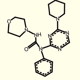 O=C(NN1CCOCC1)N(c1ccccc1)c1ncnc(N2CCCCC2)n1